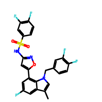 Cc1cn(Cc2ccc(F)c(F)c2)c2c(-c3cc(NS(=O)(=O)c4ccc(F)c(F)c4)no3)cc(F)cc12